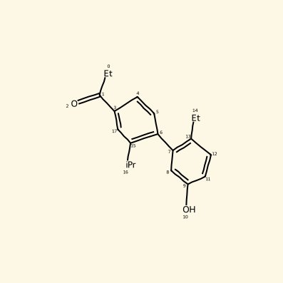 CCC(=O)c1ccc(-c2cc(O)ccc2CC)c(C(C)C)c1